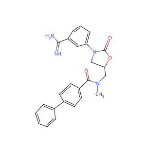 CN(CC1CN(c2cccc(C(=N)N)c2)C(=O)O1)C(=O)c1ccc(-c2ccccc2)cc1